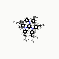 CCC(C)(C)c1ccc(N2c3ccc(C(C)(C)CC)cc3B3c4cc(C(C)(C)CC)ccc4N(c4ccc(C(C)(C)CC)cc4)c4cc(N(c5cccc(C(C)(C)C)c5)c5cccc(C(C)(C)C)c5)cc2c43)cc1